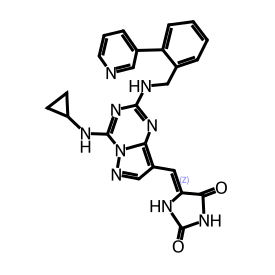 O=C1NC(=O)/C(=C/c2cnn3c(NC4CC4)nc(NCc4ccccc4-c4cccnc4)nc23)N1